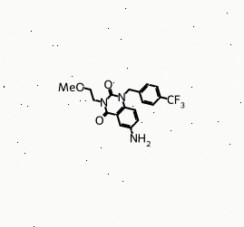 COCCn1c(=O)c2cc(N)ccc2n(Cc2ccc(C(F)(F)F)cc2)c1=O